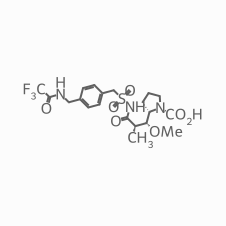 CO[C@H]([C@@H](C)C(=O)NS(=O)(=O)Cc1ccc(CNC(=O)C(F)(F)F)cc1)[C@@H]1CCCN1C(=O)O